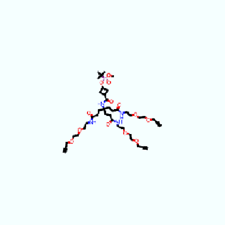 C#CCOCCOCCNC(=O)CCC(CCC(=O)NCCOCCOCC#C)(CCC(=O)NCCOCCOCC#C)NC(=O)[C@H]1C[C@H](OP(=O)(OC)C(C)(C)C)C1